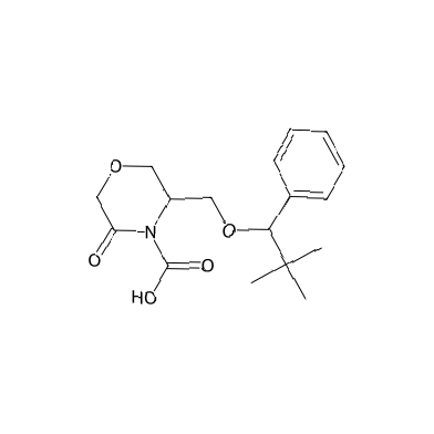 CC(C)(C)C(OCC1COCC(=O)N1C(=O)O)c1ccccc1